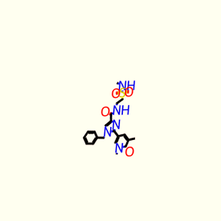 CNS(=O)(=O)CCNC(=O)c1cn(Cc2ccccc2)c(-c2cc(C)c(=O)n(C)c2)n1